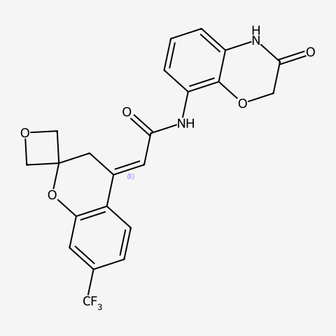 O=C(/C=C1\CC2(COC2)Oc2cc(C(F)(F)F)ccc21)Nc1cccc2c1OCC(=O)N2